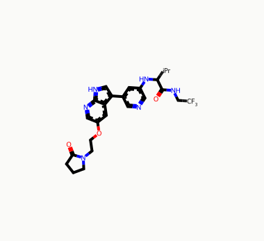 CC(C)C(Nc1cncc(-c2c[nH]c3ncc(OCCN4CCCC4=O)cc23)c1)C(=O)NCC(F)(F)F